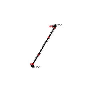 COc1ccc(CO)c(OCCCCCCCCCCCCOCCCCCCCCCCCCCCCCCCCCCCOCCCCCCCCCCCCOc2cc(OC)ccc2CO)c1